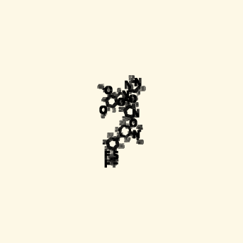 COc1ccc(CN(c2ccncn2)S(=O)(=O)c2ccc(O[C@H]3CC[C@H](c4cccc(SC(F)(F)F)c4)C[C@@H]3N(C)C)nc2)c(OC)c1